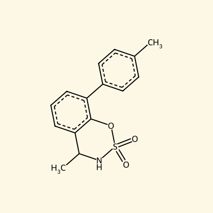 Cc1ccc(-c2cccc3c2OS(=O)(=O)NC3C)cc1